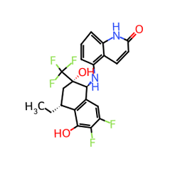 CC[C@@H]1C[C@@](O)(C(F)(F)F)[C@@H](Nc2cccc3[nH]c(=O)ccc23)c2cc(F)c(F)c(O)c21